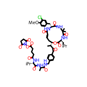 COc1ccc(C[C@H]2NC(=O)/C=C/C[C@@H](C(C)C3OC3c3ccc(CNC(=O)C(C)NC(=O)[C@@H](NC(=O)CCCC(=O)ON4C(=O)CCC4=O)C(C)C)cc3)OC(=O)[C@H](CC(C)C)NC(=O)C(C)(C)CNC2=O)cc1Cl